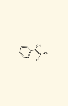 [O-]/[P+](O)=C(/O)c1ccccc1